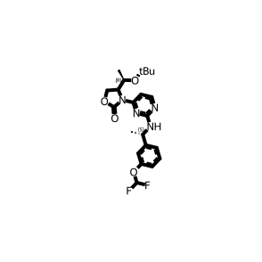 C[C@H](Nc1nccc(N2C(=O)OCC2[C@@H](C)OC(C)(C)C)n1)c1cccc(OC(F)F)c1